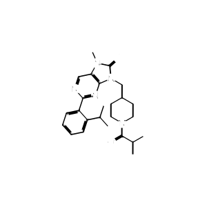 CC(C)C(=O)N1CCC(Cn2c(=O)n(C)c3cnc(-c4ccccc4C(C)C)nc32)CC1